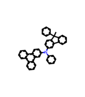 CC1(c2ccccc2)c2ccccc2-c2cc(N(c3ccccc3)c3ccc4c5ccccc5c5ccccc5c4c3)ccc21